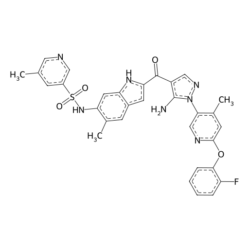 Cc1cncc(S(=O)(=O)Nc2cc3[nH]c(C(=O)c4cnn(-c5cnc(Oc6ccccc6F)cc5C)c4N)cc3cc2C)c1